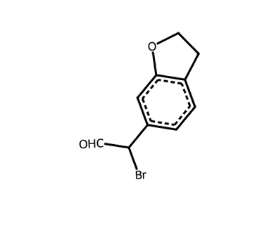 O=CC(Br)c1ccc2c(c1)OCC2